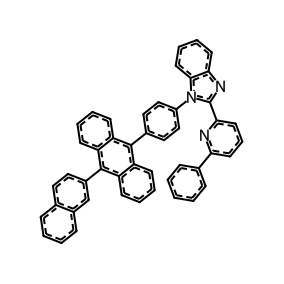 c1ccc(-c2cccc(-c3nc4ccccc4n3-c3ccc(-c4c5ccccc5c(-c5ccc6ccccc6c5)c5ccccc45)cc3)n2)cc1